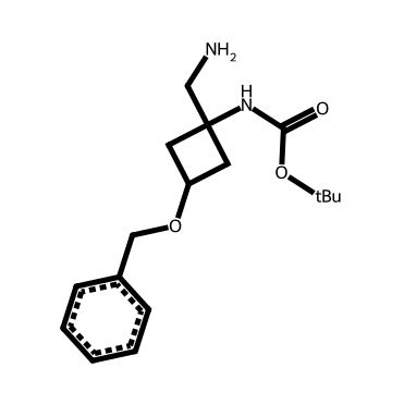 CC(C)(C)OC(=O)NC1(CN)CC(OCc2ccccc2)C1